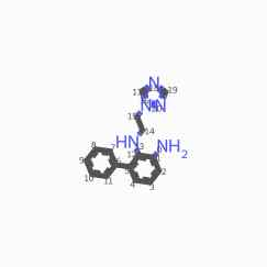 Nc1cccc(-c2ccccc2)c1NCCn1cncn1